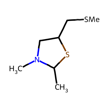 CSCC1CN(C)C(C)S1